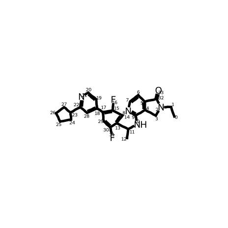 CCN1Cc2c(ccnc2NC(C)c2cc(F)c(-c3ccnc(C4CCCC4)c3)cc2F)C1=O